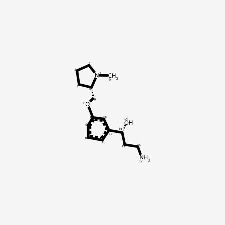 CN1CCC[C@H]1COc1cccc([C@H](O)CCN)c1